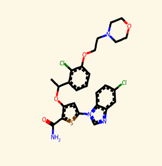 CC(Oc1cc(-n2cnc3cc(Cl)ccc32)sc1C(N)=O)c1cccc(OCCN2CCOCC2)c1Cl